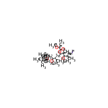 CCC(CC(OC)C(C)CCC(OC(=O)C(C)OC)C(C)C(OC)C(C)C=CI)O[Si](C)(C)C(C)(C)C